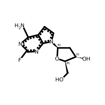 Nc1nc(F)nc2c1ccn2[C@H]1C[C@H](O)[C@@H](CO)O1